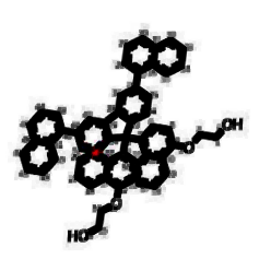 OCCOc1ccc(C2(c3ccc(OCCO)c4ccccc34)c3ccc(-c4cccc5ccccc45)cc3-c3cc(-c4cccc5ccccc45)ccc32)c2ccccc12